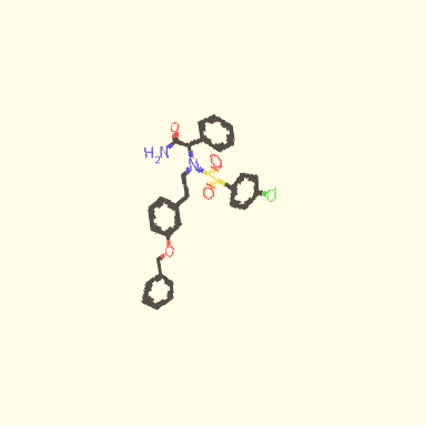 NC(=O)C(c1ccccc1)N(CCc1cccc(OCc2ccccc2)c1)S(=O)(=O)c1ccc(Cl)cc1